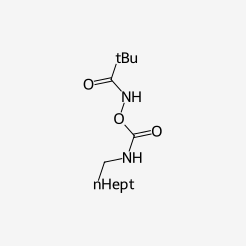 CCCCCCCCNC(=O)ONC(=O)C(C)(C)C